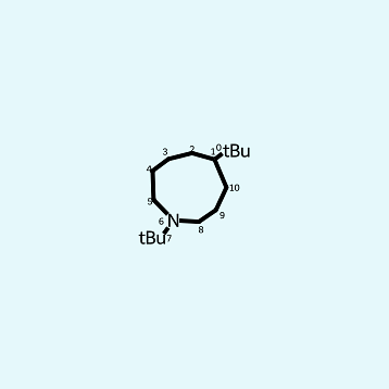 CC(C)(C)C1CCCCN(C(C)(C)C)CCC1